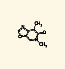 Cc1c(=O)n(C)cc2ocnc12